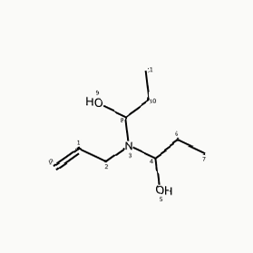 C=CCN(C(O)CC)C(O)CC